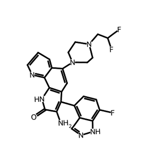 Nc1c(-c2ccc(F)c3[nH]ncc23)c2cc(N3CCN(CC(F)F)CC3)c3cccnc3c2[nH]c1=O